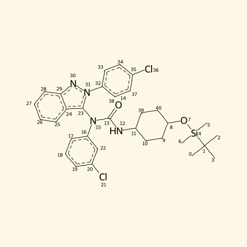 CC(C)(C)[Si](C)(C)OC1CCC(NC(=O)N(c2cccc(Cl)c2)c2c3ccccc3nn2-c2ccc(Cl)cc2)CC1